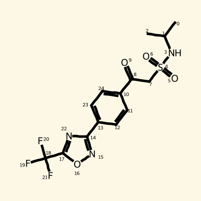 CC(C)NS(=O)(=O)CC(=O)c1ccc(-c2noc(C(F)(F)F)n2)cc1